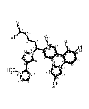 Cn1ncnc1-c1cnn(C(CCOC(F)F)c2ccc(-c3c(-n4cc(C(F)(F)F)nn4)ccc(Cl)c3F)c[n+]2[O-])c1